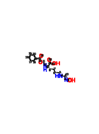 C/C(=N\O)NCCCC[C@H](NCOC(=O)c1ccccc1)C(=O)O